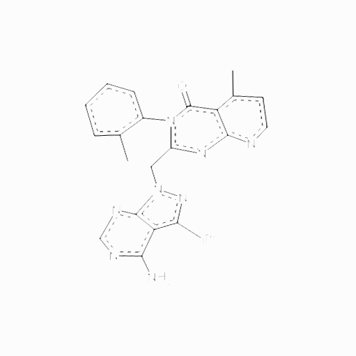 Cc1ccccc1-n1c(Cn2nc(C(C)C)c3c(N)ncnc32)nc2nccc(C)c2c1=O